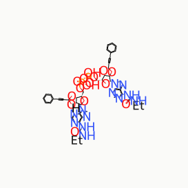 CCNC(=O)Nc1ncnc2c1ncn2[C@@H]1O[C@H](COP(=O)(O)OP(=O)(O)OC[C@H]2O[C@@H](n3cnc4c(NC(=O)NCC)ncnc43)[C@H]3OC(C#Cc4ccccc4)OC23)C2OC(C#Cc3ccccc3)OC21